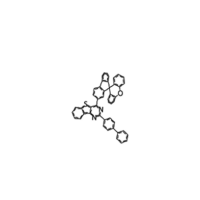 c1ccc(-c2ccc(-c3nc(-c4ccc5c(c4)C4(c6ccccc6Oc6ccccc64)c4ccccc4-5)c4sc5ccccc5c4n3)cc2)cc1